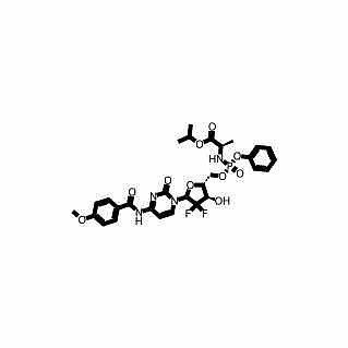 COc1ccc(C(=O)Nc2ccn(C3O[C@H](COP(=O)(N[C@H](C)C(=O)OC(C)C)Oc4ccccc4)[C@@H](O)C3(F)F)c(=O)n2)cc1